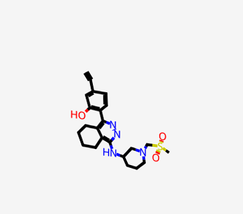 C#Cc1ccc(-c2nnc(NC3CCCN(CS(C)(=O)=O)C3)c3c2CCCC3)c(O)c1